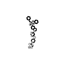 CC(C)(C)OC(=O)N1CCC(Oc2cc(N3CCc4cc(S(=O)(=O)N(Cc5ccccc5)Cc5ccccc5)ccc43)ncn2)CC1